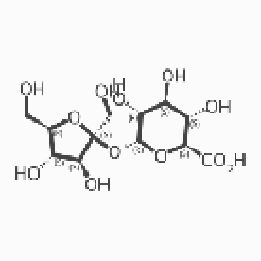 O=C(O)[C@H]1O[C@H](O[C@]2(CO)O[C@H](CO)[C@@H](O)[C@@H]2O)[C@H](O)[C@@H](O)[C@@H]1O